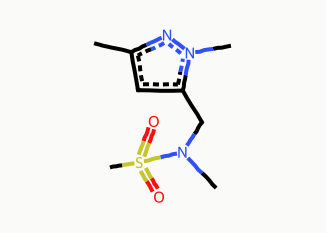 Cc1cc(CN(C)S(C)(=O)=O)n(C)n1